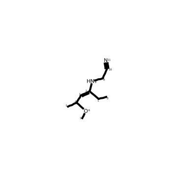 CC/C(=C\C(C)OC)NCC#N